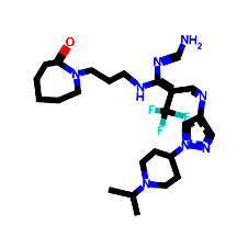 CC(C)N1CCC(n2cc(\N=C/C(=C(\N=C\N)NCCCN3CCCCCC3=O)C(F)(F)F)cn2)CC1